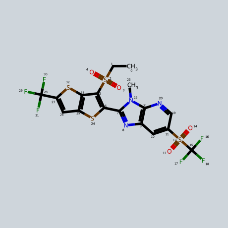 CCS(=O)(=O)c1c(-c2nc3cc(S(=O)(=O)C(F)(F)F)cnc3n2C)sc2cc(C(F)(F)F)sc12